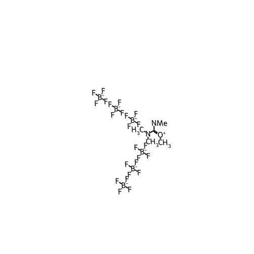 CNC(=[O+]C)N(C)C.F[B-](F)(F)F.F[B-](F)(F)F.F[B-](F)(F)F.F[B-](F)(F)F.F[B-](F)(F)F.F[B-](F)(F)F